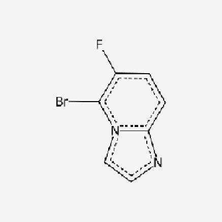 Fc1ccc2nccn2c1Br